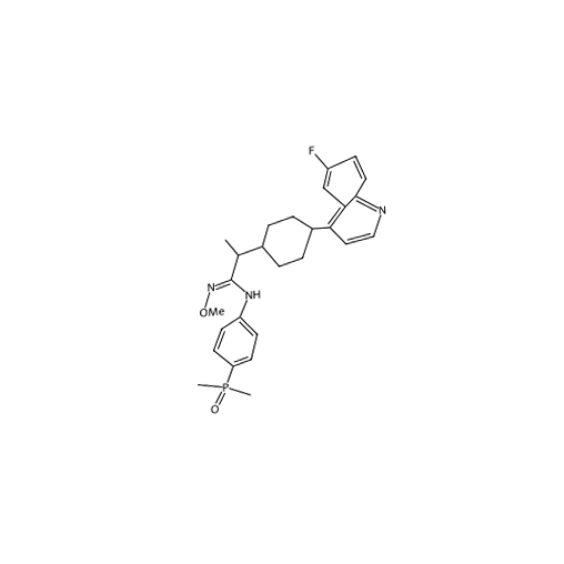 CO/N=C(\Nc1ccc(P(C)(C)=O)cc1)C(C)C1CCC(c2ccnc3ccc(F)cc23)CC1